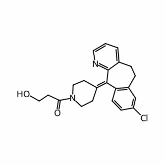 O=C(CCO)N1CCC(=C2c3ccc(Cl)cc3CCc3cccnc32)CC1